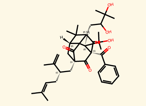 C=C(C)[C@@H](CC=C(C)C)C[C@@]12C[C@H]3C[C@@H](C(C)(C)O)[C@](C(=O)c4ccccc4)(C1=O)C(=O)[C@@](CC(O)C(C)(C)O)(C2=O)C3(C)C